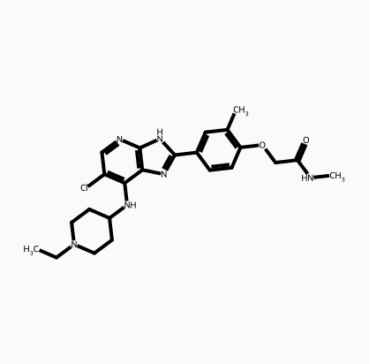 CCN1CCC(Nc2c(Cl)cnc3[nH]c(-c4ccc(OCC(=O)NC)c(C)c4)nc23)CC1